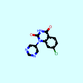 O=c1[nH]c(=O)n(-c2cncnc2)c2cc(Cl)ccc12